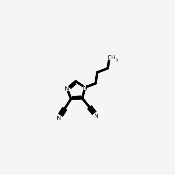 CCCCn1cnc(C#N)c1C#N